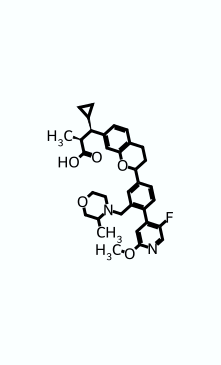 COc1cc(-c2ccc(C3CCc4ccc([C@H](C5CC5)[C@H](C)C(=O)O)cc4O3)cc2CN2CCOCC2C)c(F)cn1